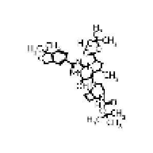 C[C@@H]1CC(C(=O)OC(C)(C)C)n2c1c(N1CCN(C(=O)OC(C)(C)C)[C@H]3CC[C@@H]31)c(=O)n1nc(-c3ccc4c(c3)COC4(C)C)nc21